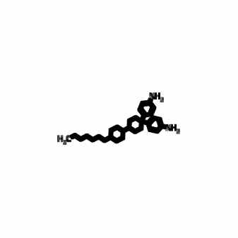 CCCCCCCC1CCC(C2CCC(c3ccc(N)cc3)(c3ccc(N)cc3)CC2)CC1